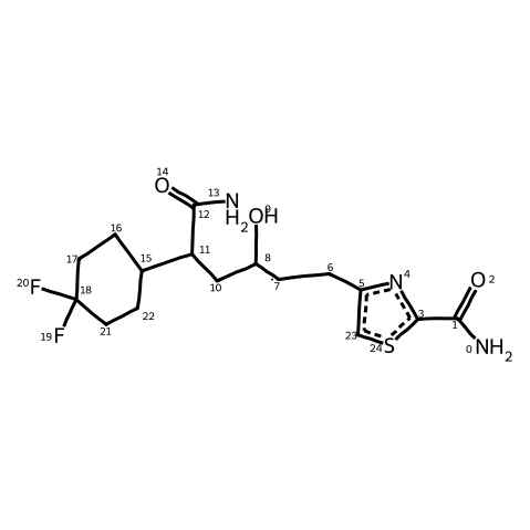 NC(=O)c1nc(C[CH]C(O)CC(C(N)=O)C2CCC(F)(F)CC2)cs1